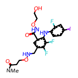 CNC(=O)CCONCc1cc(C(=O)NOCCO)c(Nc2ccc(I)cc2F)c(F)c1F